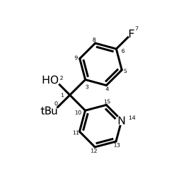 CC(C)(C)C(O)(c1ccc(F)cc1)c1cccnc1